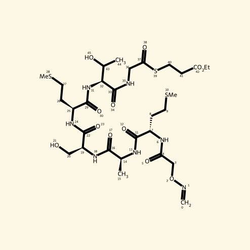 C=NOCC(=O)N[C@@H](CCSC)C(=O)N[C@@H](C)C(=O)N[C@@H](CO)C(=O)N[C@@H](CCSC)C(=O)N[C@H](C(=O)NCC(=O)SCCC(=O)OCC)C(C)O